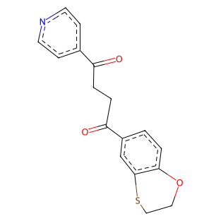 O=C(CCC(=O)c1ccc2c(c1)SCCO2)c1ccncc1